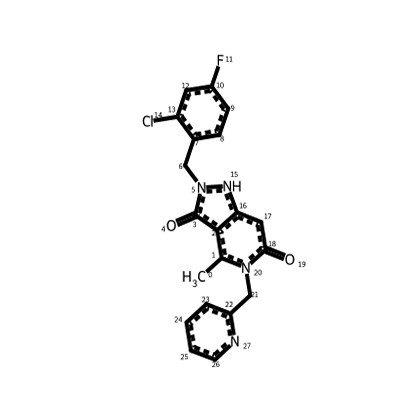 Cc1c2c(=O)n(Cc3ccc(F)cc3Cl)[nH]c2cc(=O)n1Cc1ccccn1